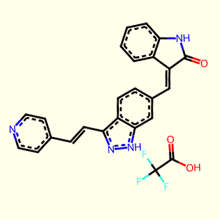 O=C(O)C(F)(F)F.O=C1Nc2ccccc2/C1=C\c1ccc2c(C=Cc3ccncc3)n[nH]c2c1